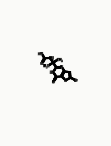 CC(C)(NC(=O)O)c1nc2cc(Br)sc2c(=O)[nH]1